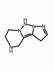 C1=NN2NN3CCNCC3=C2C1